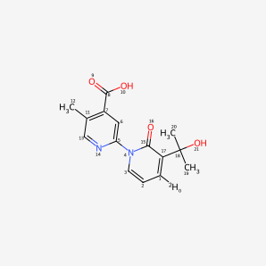 [2H]c1ccn(-c2cc(C(=O)O)c(C)cn2)c(=O)c1C(C)(C)O